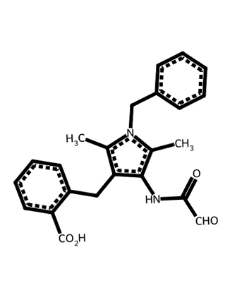 Cc1c(Cc2ccccc2C(=O)O)c(NC(=O)C=O)c(C)n1Cc1ccccc1